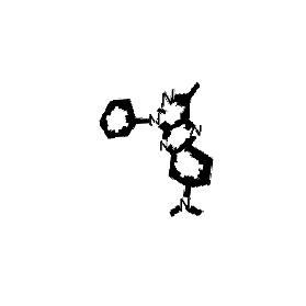 Cc1nn(-c2ccccc2)c2nc3cc(N(C)C)ccc3nc12